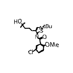 COc1ccc(Cl)cc1C(=O)/N=c1\sn(C(C)(C)C)cc1CCCC(C)(C)O